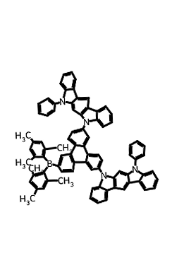 Cc1cc(C)c(B(c2ccc3c(c2)c2ccc(-n4c5ccccc5c5cc6c7ccccc7n(-c7ccccc7)c6cc54)cc2c2ccc(-n4c5ccccc5c5cc6c7ccccc7n(-c7ccccc7)c6cc54)cc32)c2c(C)cc(C)cc2C)c(C)c1